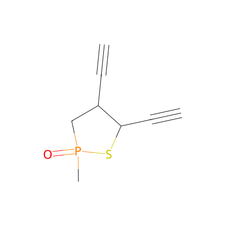 C#CC1CP(C)(=O)SC1C#C